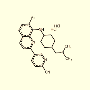 CC(=O)c1cnc2ccc(-c3ccc(C#N)nc3)nc2c1NC1CCC(CN(C)C)CC1.Cl.Cl